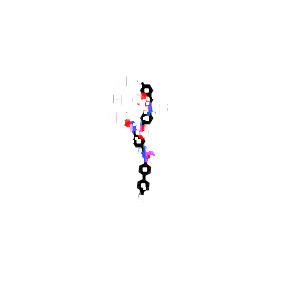 COc1cc(C)ccc1CC(=O)Nc1ccc(C(=O)N(CC(=O)O)Cc2ccc(-c3noc(-c4ccc(-c5ccc(C)cc5)cc4)n3)cc2)cc1